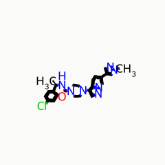 C[C@@H](NC(=O)N1CCN(c2cnn3cc(-c4cnn(C)c4)ccc23)CC1)c1ccc(Cl)cc1